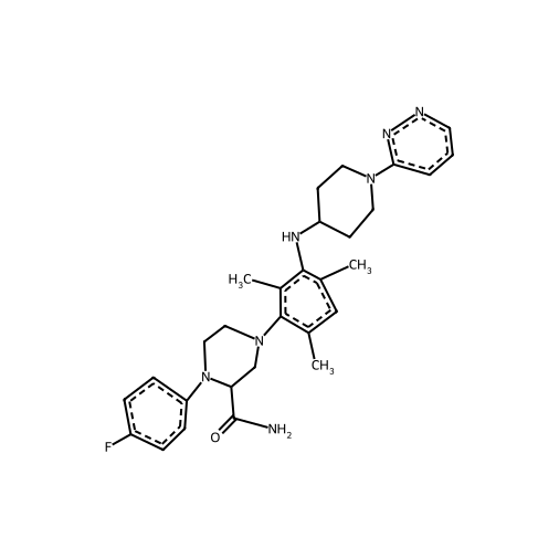 Cc1cc(C)c(N2CCN(c3ccc(F)cc3)C(C(N)=O)C2)c(C)c1NC1CCN(c2cccnn2)CC1